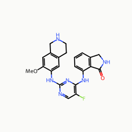 COc1cc2c(cc1Nc1ncc(F)c(Nc3cccc4c3C(=O)NC4)n1)CCNC2